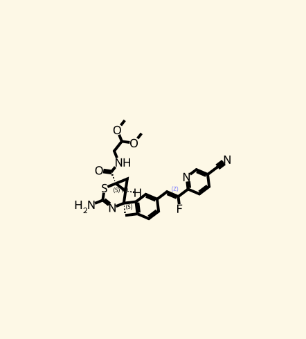 COC(CNC(=O)[C@]12C[C@H]1[C@]1(Cc3ccc(/C=C(\F)c4ccc(C#N)cn4)cc31)N=C(N)S2)OC